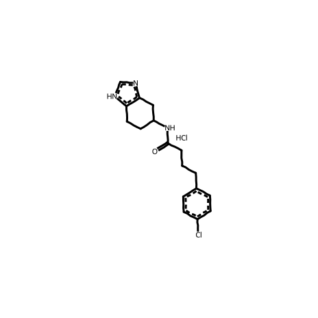 Cl.O=C(CCCc1ccc(Cl)cc1)NC1CCc2[nH]cnc2C1